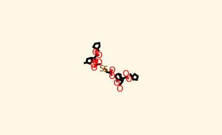 CC1CC2C(C(=O)OC3(C)CCCC3)C(=O)OC1C2OC(=O)CSSCC(=O)OC1C2CC3C1OC(=O)C3C2C(=O)OC1(C)CCCC1